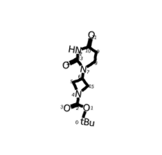 CC(C)(C)OC(=O)N1CC(N2CCC(=O)NC2=O)C1